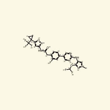 Cn1cc(Nc2ncc(-c3ccc(CC(=O)Nc4cc(C5(C(F)(F)F)CC5)on4)c(F)c3)cn2)c(OC(F)F)n1